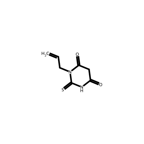 C=CCN1C(=O)CC(=O)NC1=S